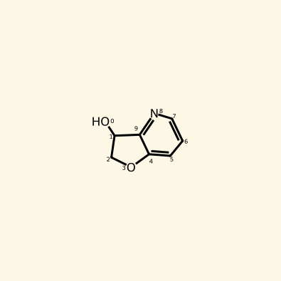 OC1COc2cccnc21